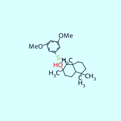 COc1cc(OC)cc(SCC2C(C)(O)CCC3C(C)(C)CCCC32C)c1